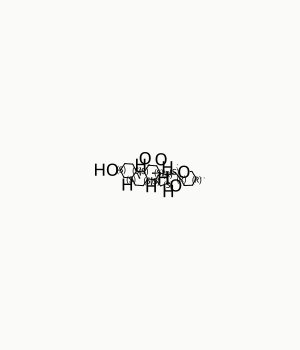 C[C@@H]1CC[C@@]2(OC1)O[C@H]1C[C@H]3[C@@H]4CC[C@H]5C[C@@H](O)CC[C@]5(C)[C@H]4C(=O)C(=O)[C@]3(C)[C@H]1[C@@H]2C